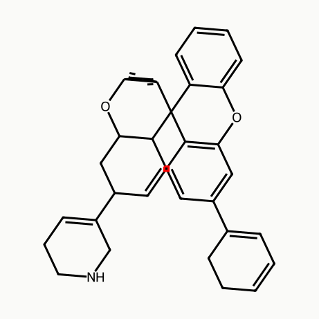 C1=CCCC(c2ccc3c(c2)Oc2ccccc2C32C3C=CC=CC3OC3CC(C4=CCCNC4)C=CC32)=C1